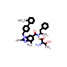 CCCc1nc2c(C)cc(C(=O)N(SC(=O)C(N)C(C)O)C(C)Cc3ccccc3)cc2n1Cc1ccc(-c2ccccc2C(=O)O)cc1